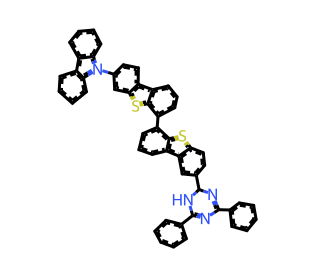 c1ccc(C2=NC(c3ccc4sc5c(-c6cccc7c6sc6cc(-n8c9ccccc9c9ccccc98)ccc67)cccc5c4c3)NC(c3ccccc3)=N2)cc1